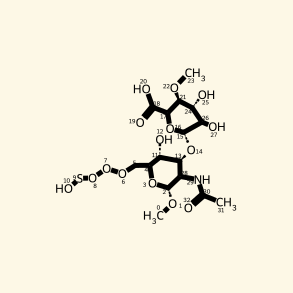 CO[C@@H]1OC(COOOSO)[C@H](O)[C@H](O[C@@H]2OC(C(=O)O)[C@@H](OC)[C@H](O)C2O)C1NC(C)=O